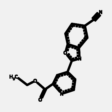 CCOC(=O)c1cc(-c2nc3cc(C#N)ccc3o2)ccn1